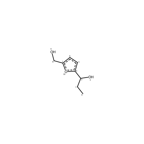 CCC(O)c1ccc(CO)o1